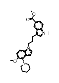 COC(=O)c1ccc2[nH]cc(CCCn3ccc4c(N5CCCCC5)c(OC)ccc43)c2c1